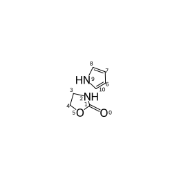 O=C1NCCO1.c1cc[nH]c1